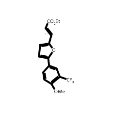 CCOC(=O)/C=C/c1ccc(-c2ccc(OC)c(C(F)(F)F)c2)o1